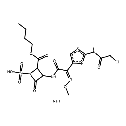 CCCCOC(=O)C1C(NC(=O)/C(=N\OC)c2csc(NC(=O)CCl)n2)C(=O)N1S(=O)(=O)O.[NaH]